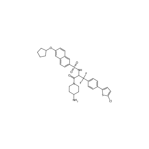 NC1CCN(C(=O)C(NS(=O)(=O)c2ccc3cc(OC4CCCC4)ccc3c2)C(F)(F)c2ccc(-c3ccc(Cl)s3)cc2)CC1